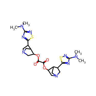 CN(C)c1nsc(C2CN3CC(OC(=O)C(=O)OC4CN5CC(c6nc(N(C)C)ns6)C4C5)C2C3)n1